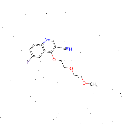 COCCOCCOc1c(C#N)cnc2ccc(I)cc12